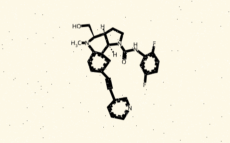 CN1c2ccc(C#Cc3cccnc3)cc2[C@H]2[C@H](CCN2C(=O)Nc2cc(F)ccc2F)[C@@H]1CO